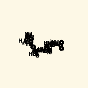 C[C@H](NC(=O)OCC1c2ccccc2-c2ccccc21)C(=O)Nc1ccc(C(=O)NCCC[C@H](NC(=O)c2ccc(NCc3ccc4nc(N)nc(N)c4c3Cl)cc2)C(=O)O)c(-c2nnn[nH]2)c1